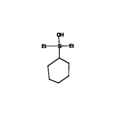 CC[Si](O)(CC)C1CCCCC1